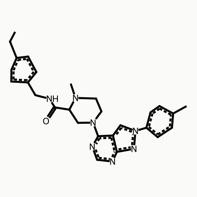 CCc1ccc(CNC(=O)C2CN(c3ncnc4nn(-c5ccc(C)cc5)cc34)CCN2C)cc1